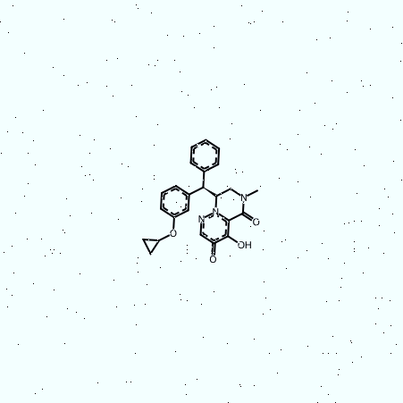 CN1CC([C@H](c2ccccc2)c2cccc(OC3CC3)c2)n2ncc(=O)c(O)c2C1=O